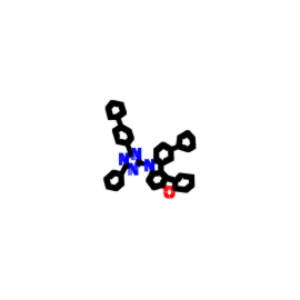 c1ccc(-c2ccc(-c3nc(-c4ccccc4)nc(-n4c5ccc(-c6ccccc6)cc5c5c6c(ccc54)oc4ccccc46)n3)cc2)cc1